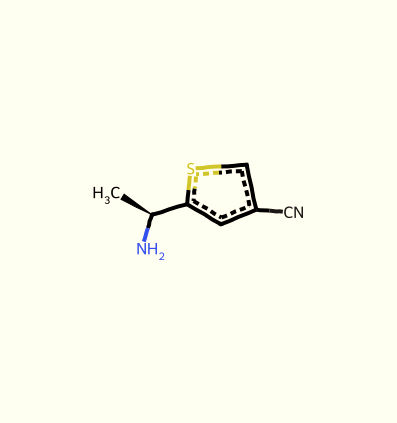 C[C@H](N)c1cc(C#N)cs1